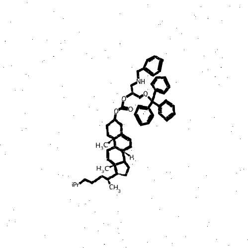 CC(C)CCC[C@H](C)[C@@H]1CCC2[C@H]3CC=C4CC(OC(=O)OC(CNCc5ccccc5)COC(c5ccccc5)(c5ccccc5)c5ccccc5)CC[C@@]4(C)C3CC[C@]21C